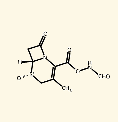 CC1=C(C(=O)ONC=O)N2C(=O)C[C@H]2[S@@+]([O-])C1